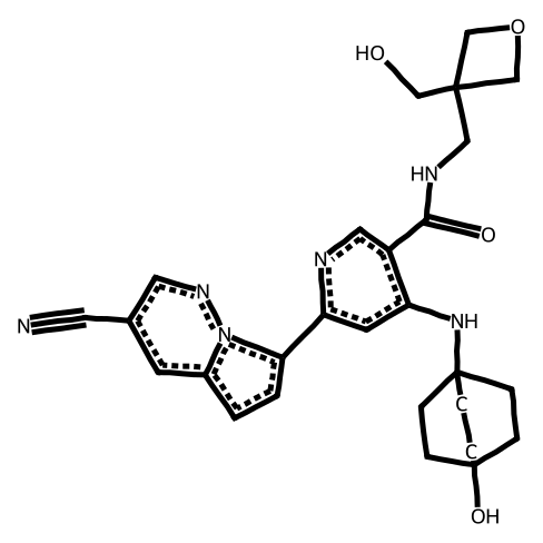 N#Cc1cnn2c(-c3cc(NC45CCC(O)(CC4)CC5)c(C(=O)NCC4(CO)COC4)cn3)ccc2c1